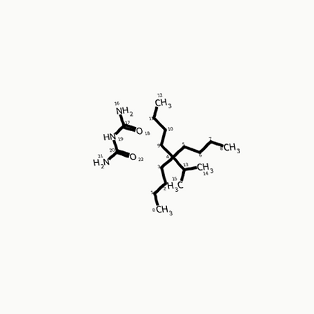 CCCCC(CCCC)(CCCC)C(C)C.NC(=O)NC(N)=O